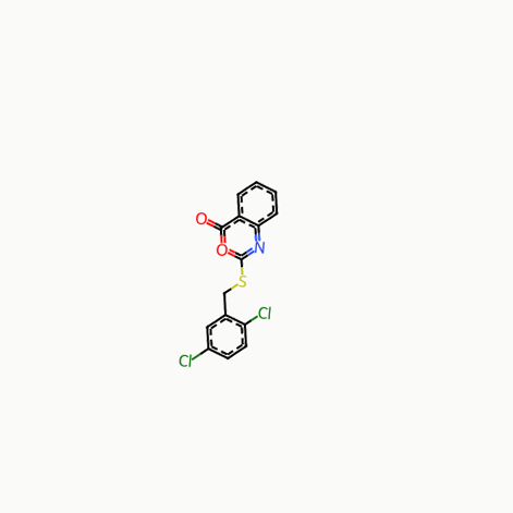 O=c1oc(SCc2cc(Cl)ccc2Cl)nc2ccccc12